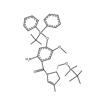 COc1cc(C(=O)N2C=C(C)C[C@H]2CO[Si](C)(C)C(C)(C)C)c(N)cc1O[Si](c1ccccc1)(c1ccccc1)C(C)(C)C